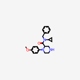 COc1ccc(N2CCNCC2C(=O)N(Cc2ccccc2)C2CC2)cc1